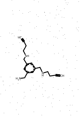 C#CCCNCc1cc(CN)cc(CNCCC#C)c1